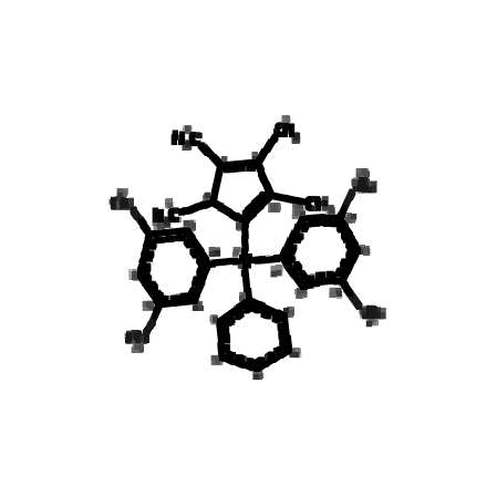 CC1=C(C)C(C)C([Si](c2ccccc2)(c2cc(C(C)(C)C)cc(C(C)(C)C)c2)c2cc(C(C)(C)C)cc(C(C)(C)C)c2)=C1C